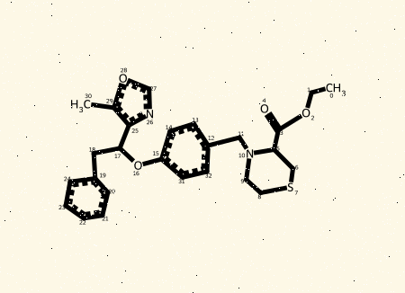 CCOC(=O)C1CSCCN1Cc1ccc(OC(Cc2ccccc2)c2ncoc2C)cc1